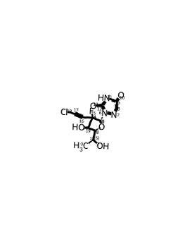 C[C@H](O)[C@H]1O[C@@H](n2ncc(=O)[nH]c2=O)[C@@](F)(C#CCl)C1O